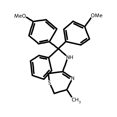 COc1ccc(C(NC2=NC(C)CSC2)(c2ccccc2)c2ccc(OC)cc2)cc1